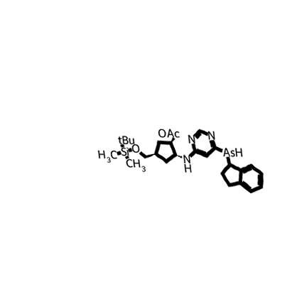 CC(=O)O[C@@H]1C[C@H](CO[Si](C)(C)C(C)(C)C)C[C@H]1Nc1cc([AsH]C2CCc3ccccc32)ncn1